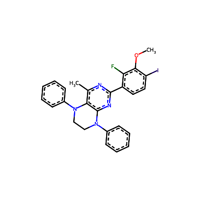 COc1c(I)ccc(-c2nc(C)c3c(n2)N(c2ccccc2)CCN3c2ccccc2)c1F